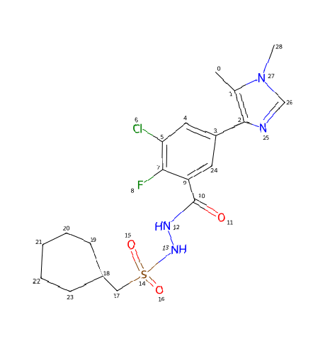 Cc1c(-c2cc(Cl)c(F)c(C(=O)NNS(=O)(=O)CC3CCCCC3)c2)ncn1C